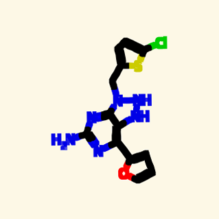 Nc1nc(-c2ccco2)c2c(n1)N(Cc1ccc(Cl)s1)NN2